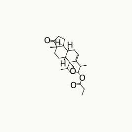 CCC(=O)OC1CC(C)[C@@]2(C=O)C(=CC[C@@H]3[C@H]2CC[C@]2(C)C(=O)CC[C@@H]32)C1C